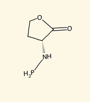 O=C1OCC[C@H]1NP